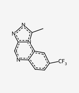 Cc1nnc2cnc3ccc(C(F)(F)F)cc3n12